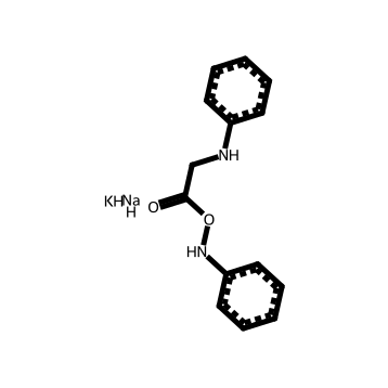 O=C(CNc1ccccc1)ONc1ccccc1.[KH].[NaH]